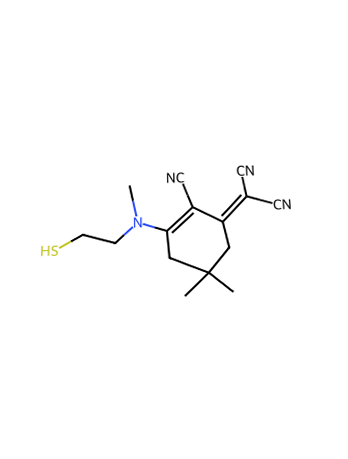 CN(CCS)C1=C(C#N)C(=C(C#N)C#N)CC(C)(C)C1